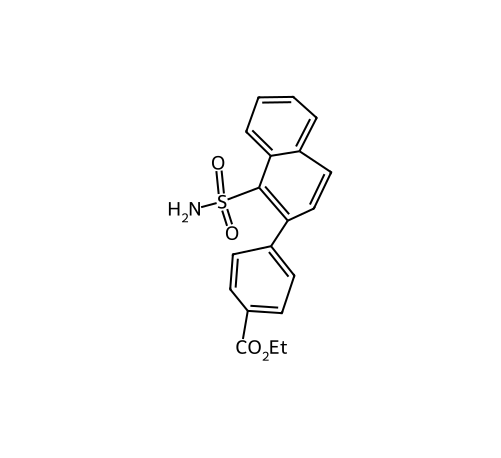 CCOC(=O)c1ccc(-c2ccc3ccccc3c2S(N)(=O)=O)cc1